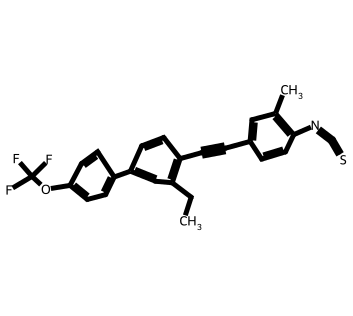 CCc1cc(-c2ccc(OC(F)(F)F)cc2)ccc1C#Cc1ccc(N=C=S)c(C)c1